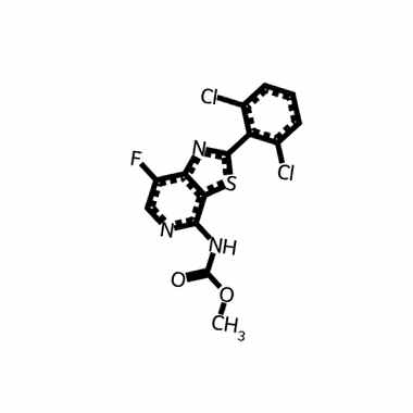 COC(=O)Nc1ncc(F)c2nc(-c3c(Cl)cccc3Cl)sc12